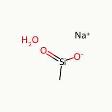 C[Si](=O)[O-].O.[Na+]